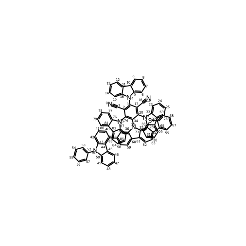 N#Cc1c(-n2c3ccccc3c3ccccc32)c(C#N)c(-n2c3ccccc3c3ccccc32)c(-n2c3cc(-c4cccc5c4c4ccccc4n5-c4ccccc4)ccc3c3ccc4c5ccccc5sc4c32)c1-n1c2ccccc2c2ccccc21